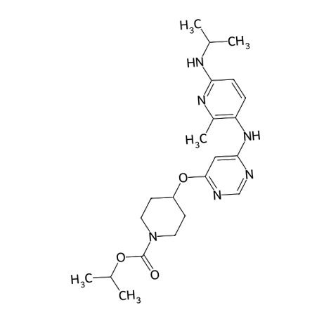 Cc1nc(NC(C)C)ccc1Nc1cc(OC2CCN(C(=O)OC(C)C)CC2)ncn1